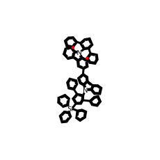 c1ccc(-c2cccc(-c3ccccc3)c2-n2c3ccccc3c3cc(-c4ccc5c(c4)c4ccccc4n5-c4c(-c5ccccc5)cc([Si](c5ccccc5)(c5ccccc5)c5ccccc5)cc4-c4ccccc4)ccc32)cc1